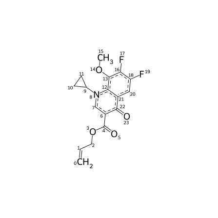 C=CCOC(=O)c1cn(C2CC2)c2c(OC)c(F)c(F)cc2c1=O